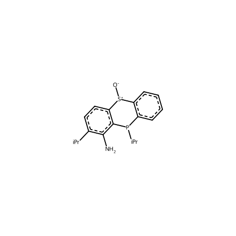 CC(C)c1ccc2c(c1N)P(C(C)C)c1ccccc1[S+]2[O-]